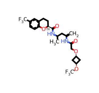 C=C(CC(C)NC(=O)[C@@H]1CCc2cc(C(F)(F)F)ccc2O1)NC(=O)CO[C@H]1C[C@@H](OC(F)(F)F)C1